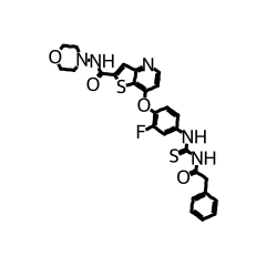 O=C(Cc1ccccc1)NC(=S)Nc1ccc(Oc2ccnc3cc(C(=O)NN4CCOCC4)sc23)c(F)c1